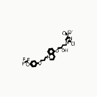 O=[N+]([O-])c1cn(CCC(O)COc2cccc3c2CCCN3CCCOc2ccc(OC(F)(F)F)cc2)c(Cl)n1